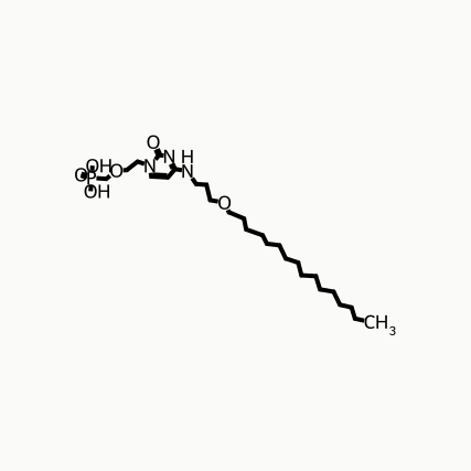 CCCCCCCCCCCCCCCCOCCCNc1ccn(CCOCP(=O)(O)O)c(=O)n1